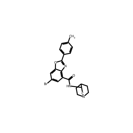 Cc1ccc(-c2nc3c(C(=O)NC4CN5CCC4CC5)cc(Br)cc3o2)cc1